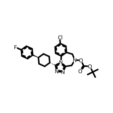 CC(C)(C)OC(=O)ON1Cc2cc(Cl)ccc2-n2c(nnc2[C@H]2CC[C@H](c3ccc(F)cc3)CC2)C1